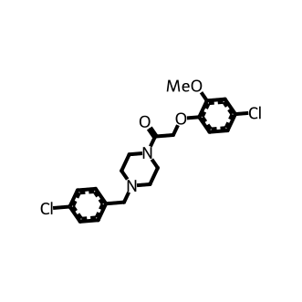 COc1cc(Cl)ccc1OCC(=O)N1CCN(Cc2ccc(Cl)cc2)CC1